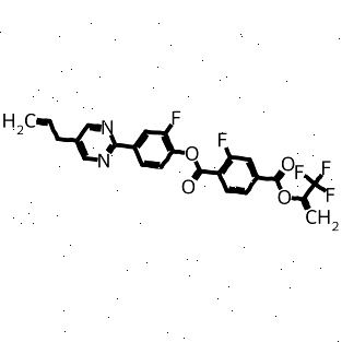 C=CCc1cnc(-c2ccc(OC(=O)c3ccc(C(=O)OC(=C)C(F)(F)F)cc3F)c(F)c2)nc1